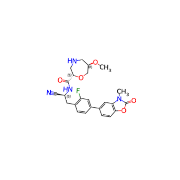 CO[C@@H]1CNC[C@@H](C(=O)N[C@H](C#N)Cc2ccc(-c3ccc4oc(=O)n(C)c4c3)cc2F)OC1